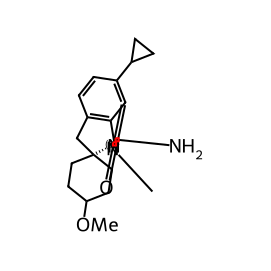 COC1CCC2(CC1)Cc1ccc(C3CC3)cc1[C@@]21N=C(N)N(C)C1=O